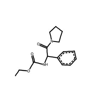 CCOC(=O)NC(C(=O)N1CCCC1)c1ccccc1